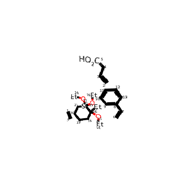 C=C.C=CCC(=O)O.C=Cc1ccccc1.CCOC1(CC)CCCC[Si]1(OCC)OCC